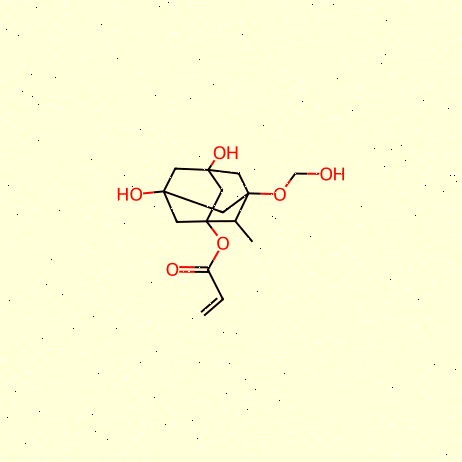 C=CC(=O)OC12CC3(O)CC(O)(CC(OCO)(C3)C1C)C2